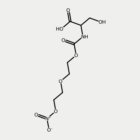 O=C(NC(CO)C(=O)O)OCCOCCO[N+](=O)[O-]